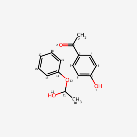 CC(=O)c1ccc(O)cc1.CC(O)Oc1ccccc1